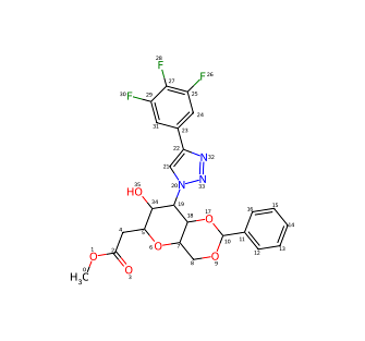 COC(=O)CC1OC2COC(c3ccccc3)OC2C(n2cc(-c3cc(F)c(F)c(F)c3)nn2)C1O